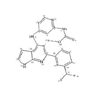 O=C(Nc1cc(Nc2nc(-c3cccc(C(F)F)n3)nc3[nH]ccc23)ccn1)OF